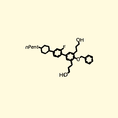 CCCCCC1CCC(c2ccc(-c3cc(CCCO)c(OCc4ccccc4)c(CCCO)c3)c(F)c2)CC1